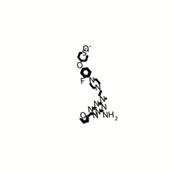 CN(CCN1CCN(c2ccc(O[C@H]3CC[S@@+]([O-])CC3)cc2F)CC1)c1nc(N)n2nc(-c3ccco3)nc2n1